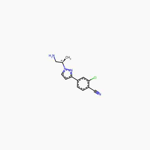 C[C@H](CN)n1ccc(-c2ccc(C#N)c(Cl)c2)n1